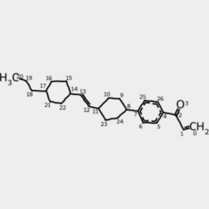 C=CC(=O)c1ccc(C2CCC(C=CC3CCC(CCC)CC3)CC2)cc1